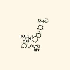 CCCN(OCc1ccccc1)C(=O)C1=Cc2ccc(-c3ccc(C(=O)N4CCCC4)cc3)cc2N=C(N(C(=O)O)C(C)(C)C)C1